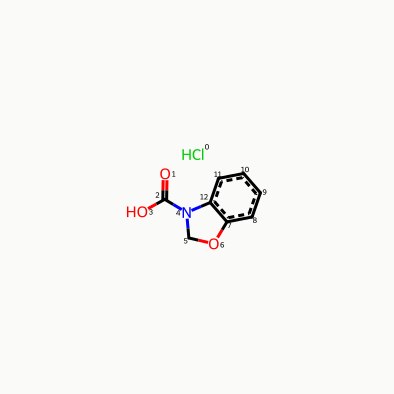 Cl.O=C(O)N1COc2ccccc21